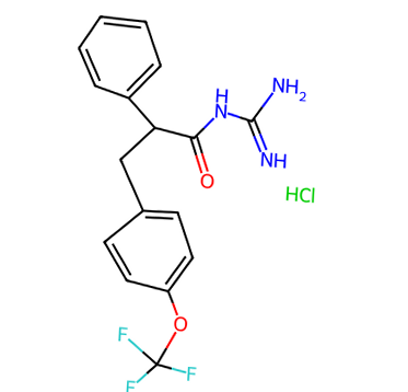 Cl.N=C(N)NC(=O)C(Cc1ccc(OC(F)(F)F)cc1)c1ccccc1